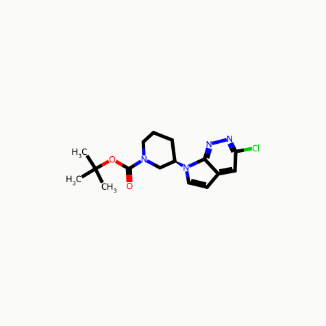 CC(C)(C)OC(=O)N1CCC[C@@H](n2ccc3cc(Cl)nnc32)C1